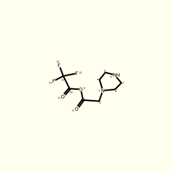 O=C(CN1CCNCC1)OC(=O)C(F)(F)F